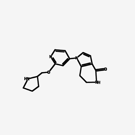 O=C1NCCc2c1ccn2-c1ccnc(OCC2CCCN2)c1